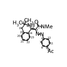 CNC(=O)C(N=Nc1ccc(C(C)=O)cc1)=C1NC(C)(C)Cc2ccccc21